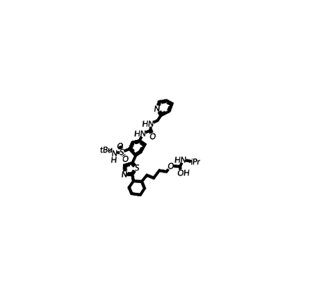 CC(C)NC(O)OCCCCC1CCCCC1c1ncc(-c2ccc(NC(=O)NCc3ccccn3)cc2S(=O)(=O)NC(C)(C)C)s1